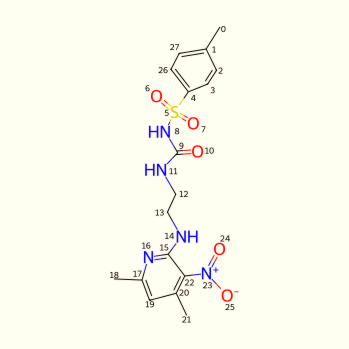 Cc1ccc(S(=O)(=O)NC(=O)NCCNc2nc(C)cc(C)c2[N+](=O)[O-])cc1